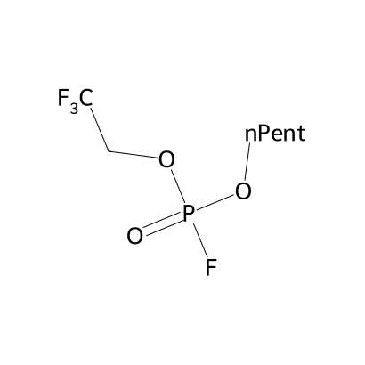 CCCCCOP(=O)(F)OCC(F)(F)F